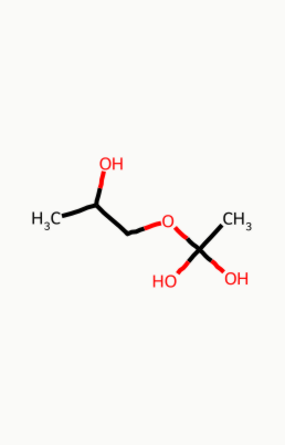 CC(O)COC(C)(O)O